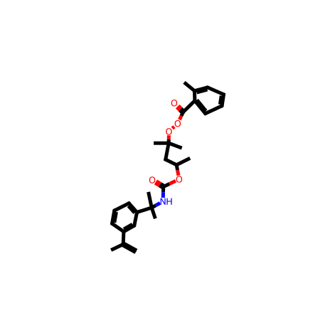 C=C(C)c1cccc(C(C)(C)NC(=O)OC(C)CC(C)(C)OOC(=O)c2ccccc2C)c1